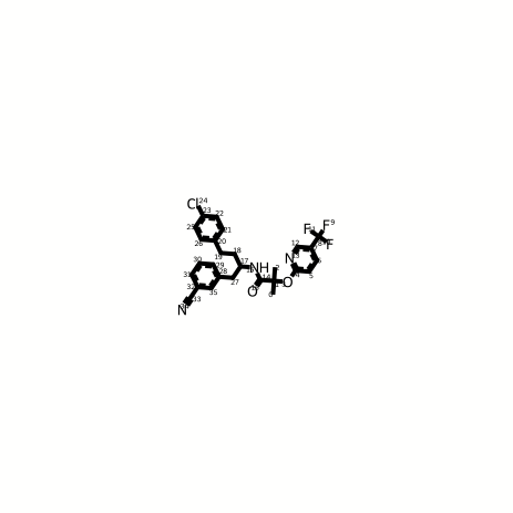 CC(C)(Oc1ccc(C(F)(F)F)cn1)C(=O)NC(CCc1ccc(Cl)cc1)Cc1cccc(C#N)c1